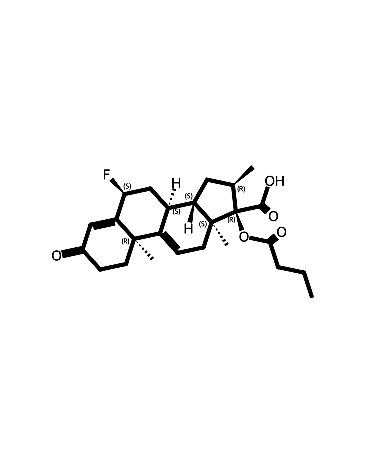 CCCC(=O)O[C@]1(C(=O)O)[C@H](C)C[C@H]2[C@@H]3C[C@H](F)C4=CC(=O)CC[C@]4(C)C3=CC[C@@]21C